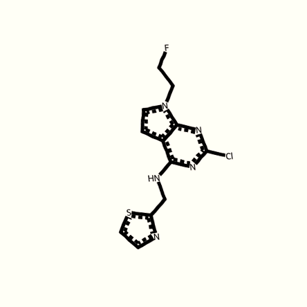 FCCn1ccc2c(NCc3nccs3)nc(Cl)nc21